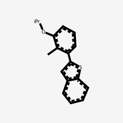 Cc1c(OC(C)C)[c]ccc1-c1cc2ccccc2s1